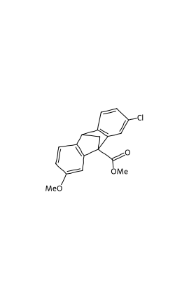 COC(=O)C12CC(c3ccc(Cl)cc31)c1ccc(OC)cc12